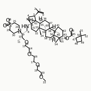 C=C(C)[C@@H]1CC[C@]2(NC[C@H]([C@@H](C)OCCOCCOCCOC)N3CCS(=O)(=O)CC3)CC[C@]3(C)[C@H](CC[C@@H]4[C@@]5(C)CC[C@H](OC(=O)[C@H]6CCC6(C)C)C(C)(C)[C@@H]5CC[C@]43C)[C@@H]12